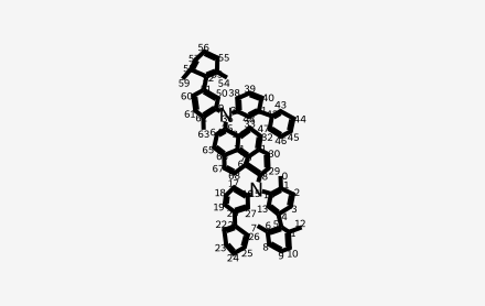 Cc1ccc(-c2c(C)cccc2C)cc1N(c1cccc(-c2ccccc2)c1)c1ccc2ccc3c(N(c4cccc(-c5ccccc5)c4)c4cc(-c5c(C)cccc5C)ccc4C)ccc4ccc1c2c43